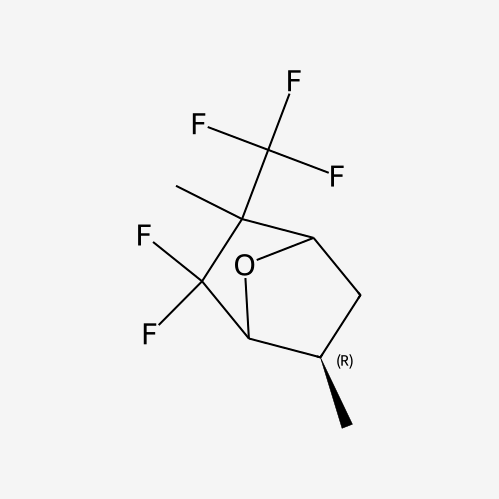 C[C@@H]1CC2OC1C(F)(F)C2(C)C(F)(F)F